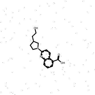 O=C(O)c1cccc2nc(N3CCC(CCO)C3)ccc12